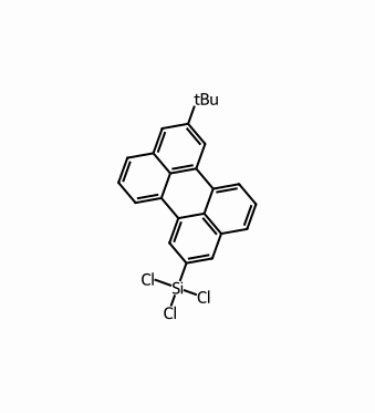 CC(C)(C)c1cc2cccc3c4cc([Si](Cl)(Cl)Cl)cc5cccc(c(c1)c23)c54